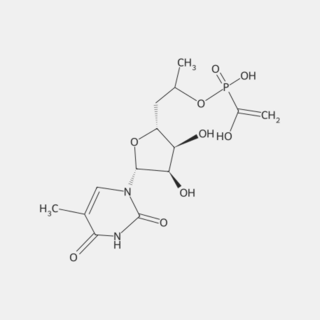 C=C(O)P(=O)(O)OC(C)C[C@H]1O[C@@H](n2cc(C)c(=O)[nH]c2=O)[C@H](O)[C@@H]1O